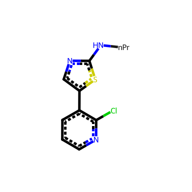 CCCNc1ncc(-c2cccnc2Cl)s1